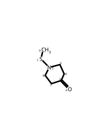 CSN1CCC(=O)CC1